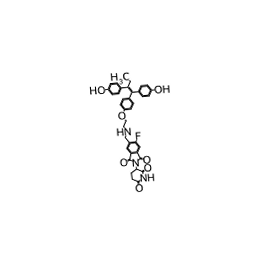 CCC(=C(c1ccc(O)cc1)c1ccc(OCCNCc2cc3c(cc2F)C(=O)N(C2CCC(=O)NC2=O)C3=O)cc1)c1ccc(O)cc1